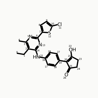 CCc1c(C)nc(-c2ccc(Cl)s2)nc1Nc1ccc(C2=C(O)CCC2=O)cc1